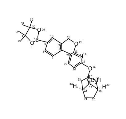 CC1(C)OB(c2ccc3c(c2)COc2nc(OC4C[C@H]5CC[C@@H](C4)N5C(=O)O)ccc2-3)OC1(C)C